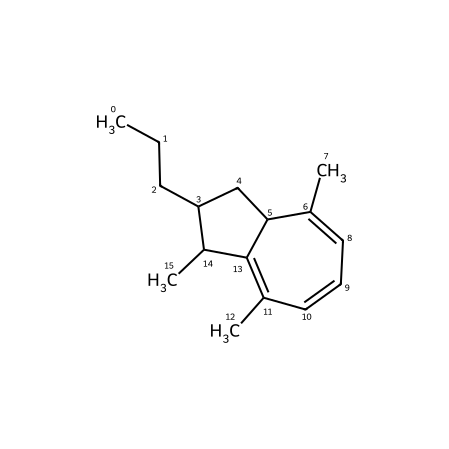 CCCC1CC2C(C)=CC=CC(C)=C2C1C